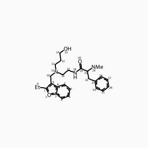 CCc1oc2ccccc2c1CN(CCCO)CCNC(=O)C(Cc1ccccc1)NC